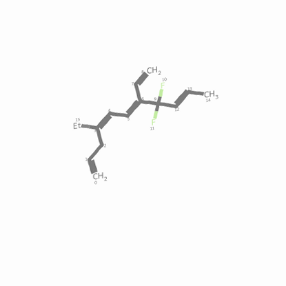 C=CC/C(=C\C=C(/C=C)C(F)(F)/C=C/C)CC